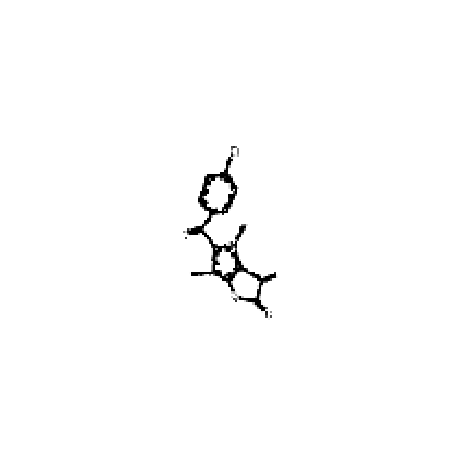 Cc1c2c(n(C)c1C(=O)c1ccc(Cl)cc1)C(C)C(=O)O2